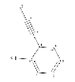 CC#Cc1ccccc1F